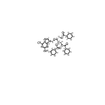 Nc1nc(Cl)c2ncn(CO[C@H](COC(=O)c3ccccc3)[C@@H](COC(=O)c3ccccc3)OC(=O)c3ccccc3)c2n1